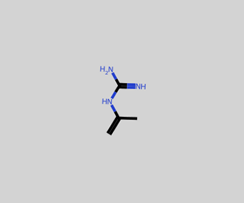 C=C(C)NC(=N)N